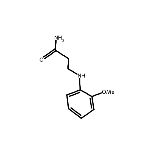 COc1ccccc1NCCC(N)=O